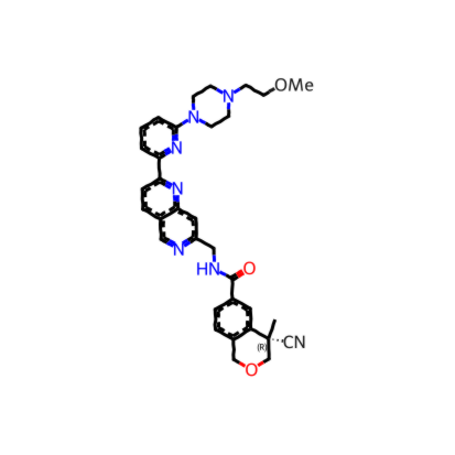 COCCN1CCN(c2cccc(-c3ccc4cnc(CNC(=O)c5ccc6c(c5)[C@](C)(C#N)COC6)cc4n3)n2)CC1